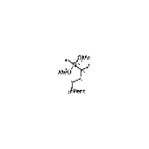 CCCCCCCC(C)[Si](C)(OC)OC